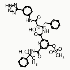 CC(C)(NC(=O)c1cc(OS(C)(=O)=O)cc(C(=O)N[C@@H](Cc2ccccc2)[C@H](O)C(=O)Nc2cccc(-c3nn[nH]n3)c2)n1)c1ccccc1